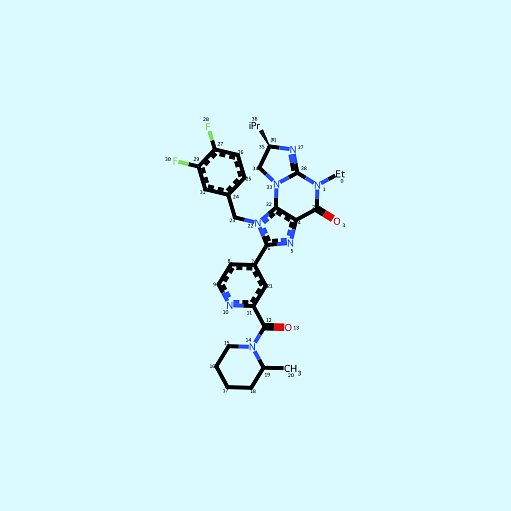 CCN1C(=O)c2nc(-c3ccnc(C(=O)N4CCCCC4C)c3)n(Cc3ccc(F)c(F)c3)c2N2C[C@@H](C(C)C)N=C12